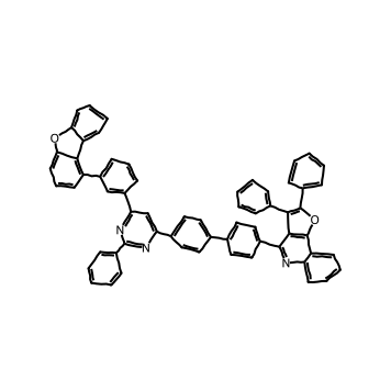 c1ccc(-c2nc(-c3ccc(-c4ccc(-c5nc6ccccc6c6oc(-c7ccccc7)c(-c7ccccc7)c56)cc4)cc3)cc(-c3cccc(-c4cccc5oc6ccccc6c45)c3)n2)cc1